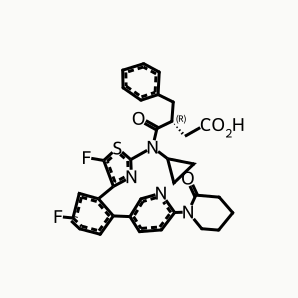 O=C(O)C[C@@H](Cc1ccccc1)C(=O)N(c1nc(-c2cc(F)ccc2-c2ccc(N3CCCCC3=O)nc2)c(F)s1)C1CC1